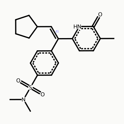 Cc1ccc(/C(=C/C2CCCC2)c2ccc(S(=O)(=O)N(C)C)cc2)[nH]c1=O